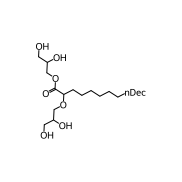 CCCCCCCCCCCCCCCCC(OCC(O)CO)C(=O)OCC(O)CO